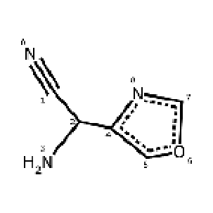 N#CC(N)c1cocn1